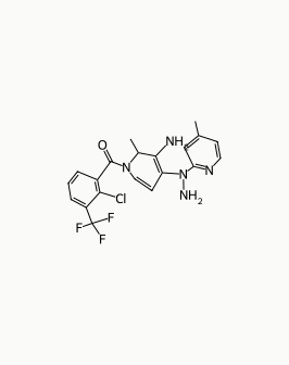 Cc1ccnc(N(N)C2=C(N)C(C)N(C(=O)c3cccc(C(F)(F)F)c3Cl)C=C2)c1